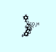 O=C(NC(COCc1ccccc1)C(=O)O)c1cc2cc(F)ccc2oc1=O